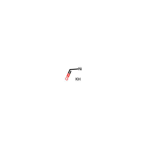 O=[CH][Ni].[KH]